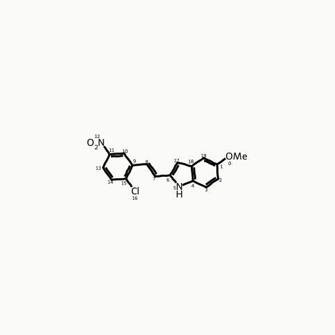 COc1ccc2[nH]c(C=Cc3cc([N+](=O)[O-])ccc3Cl)cc2c1